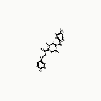 CC1CN(C(=O)COc2ccc(F)cc2)C(C)CN1Cc1ccc(F)cc1